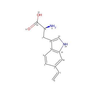 C=Cc1ccc2c(C[C@H](N)C(=O)O)c[nH]c2c1